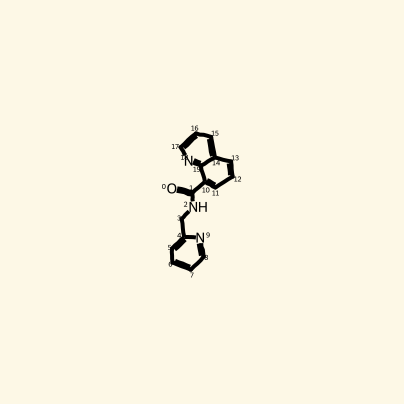 O=C(NCc1ccccn1)c1cccc2cccnc12